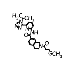 COCCC(=O)N1CCc2ccc(C(=O)Nc3cccc(-c4nncn4C(C)C)n3)cc2C1